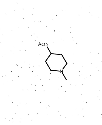 CC(=O)OC1CCN(C)CC1